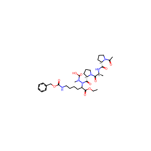 CCOC(=O)C(CCCCNC(=O)OCc1ccccc1)N(C(=O)[C@@H]1CCCN1C(=O)[C@H](C)NC(=O)[C@@H]1CCCN1C(C)=O)N(C)C(=O)O